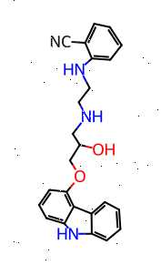 N#Cc1ccccc1NCCNCC(O)COc1cccc2[nH]c3ccccc3c12